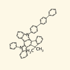 CC1(C)c2ccccc2-c2c1c1c3ccccc3n(-c3ccccc3)c1c1c3ccccc3n(-c3ccc(-c4ccc(-c5ccccc5)cc4)cc3)c21